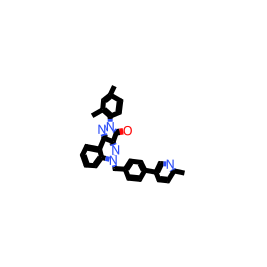 Cc1ccc(-n2nc3c4ccccc4n(Cc4ccc(-c5ccc(C)nc5)cc4)nc-3c2=O)c(C)c1